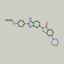 CCCCCCOc1ccc(-c2nc3cc(N4Cc5cc(N6CCOCC6)ccc5C4=O)ccc3[nH]2)cc1